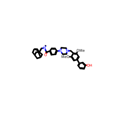 COc1cc(-c2cccc(O)c2)cc(OC)c1CN1CCN(c2ccc(C(=O)N(C)CC34CC5CC(CC(C5)C3)C4)cc2)CC1